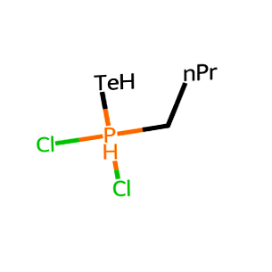 CCCC[PH](Cl)(Cl)[TeH]